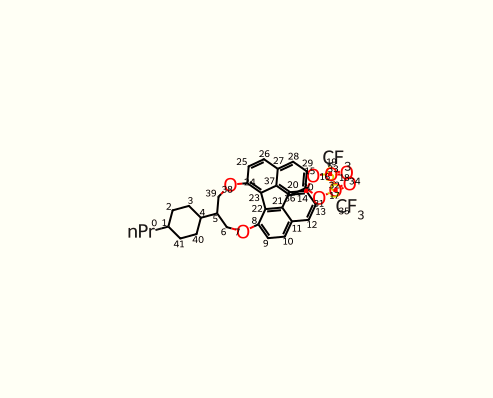 CCCC1CCC(C2COc3ccc4ccc(OS(=O)(=O)C(F)(F)F)cc4c3-c3c(ccc4ccc(OS(=O)(=O)C(F)(F)F)cc34)OC2)CC1